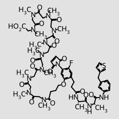 C[C@H](NC(=O)CCc1cc(F)c(N2C(=O)C=CC2=O)cc1OCCCC(=O)N(C)CC(=O)N(C)CC(=O)N(C)CC(=O)N(C)CC(=O)N(C)CC(=O)N(C)CC(=O)N(C)CC(=O)N(C)CC(=O)N(C)CC(=O)N(C)CC(=O)O)C(=O)N[C@@H](C)C(=O)Nc1cccc(Cc2ccsc2)c1